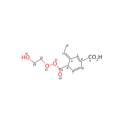 CC=C1C=C(C(=O)O)C=CC1C(=O)OOCCO